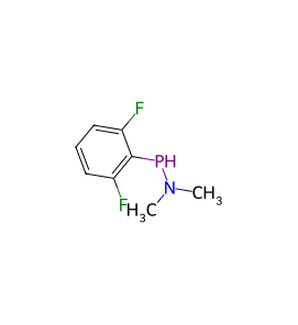 CN(C)Pc1c(F)cccc1F